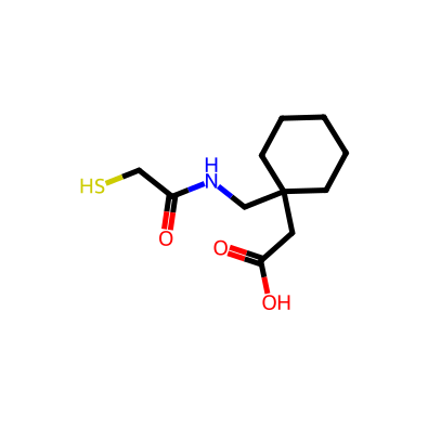 O=C(O)CC1(CNC(=O)CS)CCCCC1